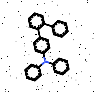 c1ccc(-c2ccccc2-c2ccc(N(c3ccccc3)c3ccccc3)cc2)cc1